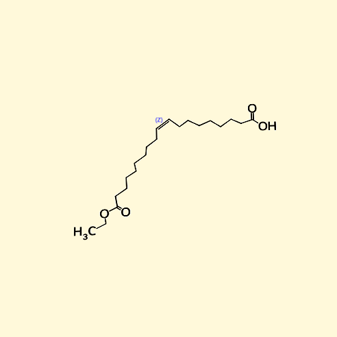 CCOC(=O)CCCCCCCC/C=C\CCCCCCCC(=O)O